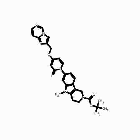 Cn1c2c(c3ccc(-n4ccc(OCc5cn6cnccc6n5)cc4=O)cc31)CN(C(=O)OC(C)(C)C)CC2